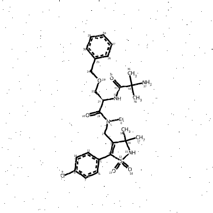 CCN(CC1=C(c2ccc(Cl)cc2)S(=O)(=O)NC1(C)C)C(=O)[C@@H](COCc1ccccc1)NC(=O)C(C)(C)N